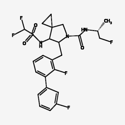 C[C@H](CF)NC(=O)N1CC2(CC2)C(NS(=O)(=O)C(F)F)C1Cc1cccc(-c2cccc(F)c2)c1F